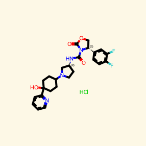 Cl.O=C(N[C@@H]1CCN(C2CCC(O)(c3ccccn3)CC2)C1)N1C(=O)OC[C@@H]1c1ccc(F)c(F)c1